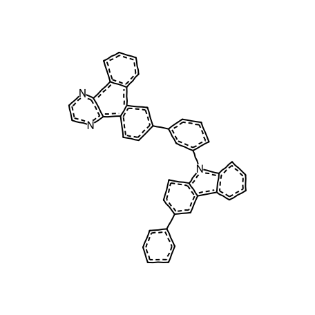 c1ccc(-c2ccc3c(c2)c2ccccc2n3-c2cccc(-c3ccc4c(c3)c3ccccc3c3nccnc43)c2)cc1